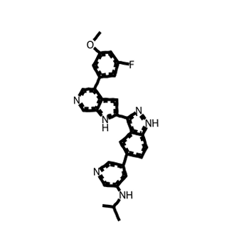 COc1cc(F)cc(-c2cncc3[nH]c(-c4n[nH]c5ccc(-c6cncc(NC(C)C)c6)cc45)cc23)c1